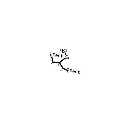 CCCCCCC(CCCCCC)SS